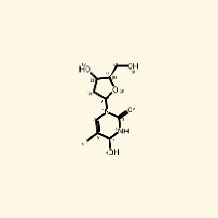 O=C1NC(O)C(I)=CN1C1CC(O)[C@@H](CO)O1